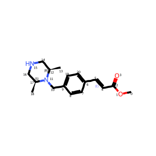 COC(=O)/C=C/c1ccc(CN2[C@H](C)CNC[C@@H]2C)cc1